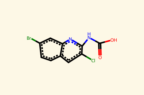 O=C(O)Nc1nc2cc(Br)ccc2cc1Cl